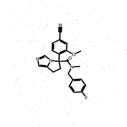 COc1cc(C#N)ccc1C1(C(=O)N(C)Cc2ccc(F)cc2)CCc2cncn21